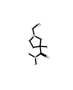 CC(C)CN1CCC(C)(C(=O)N(C)C)C1